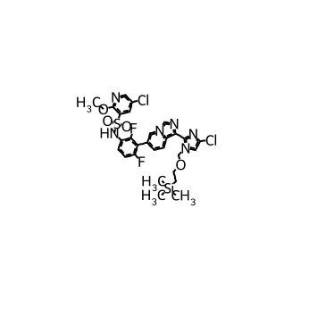 COc1ncc(Cl)cc1S(=O)(=O)Nc1ccc(F)c(-c2ccc3c(-c4nc(Cl)cn4COCC[Si](C)(C)C)ncn3c2)c1F